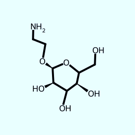 NCCO[C@H]1OC(CO)[C@@H](O)C(O)[C@H]1O